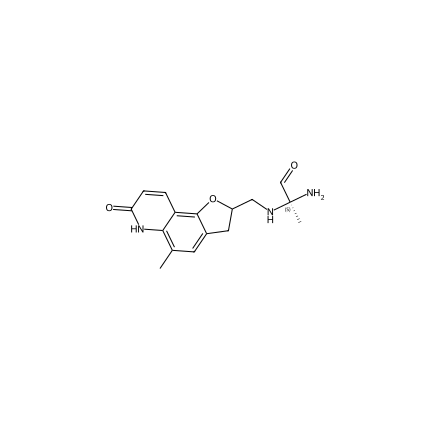 Cc1cc2c(c3ccc(=O)[nH]c13)OC(CN[C@](C)(N)C=O)C2